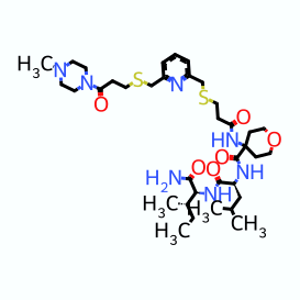 CC[C@H](C)[C@H](NC(=O)[C@H](CC(C)C)NC(=O)C1(NC(=O)CCSCc2cccc(CSCCC(=O)N3CCN(C)CC3)n2)CCOCC1)C(N)=O